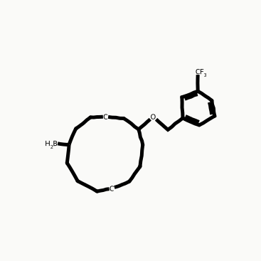 BC1CCCCCCCC(OCc2cccc(C(F)(F)F)c2)CCCC1